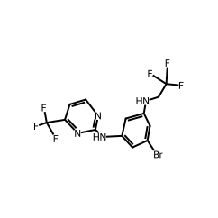 FC(F)(F)CNc1cc(Br)cc(Nc2nccc(C(F)(F)F)n2)c1